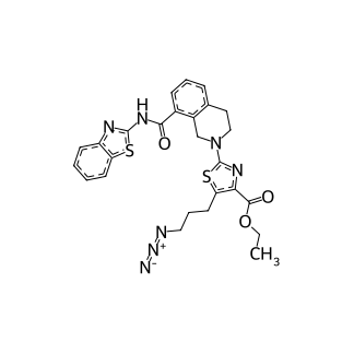 CCOC(=O)c1nc(N2CCc3cccc(C(=O)Nc4nc5ccccc5s4)c3C2)sc1CCCN=[N+]=[N-]